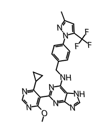 COc1ncnc(C2CC2)c1-c1nc(NCc2ccc(-n3nc(C)cc3C(F)(F)F)cc2)c2[nH]cnc2n1